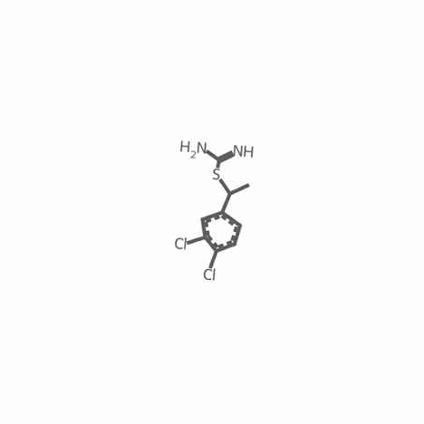 CC(SC(=N)N)c1ccc(Cl)c(Cl)c1